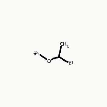 CCC(C)O[C](C)C